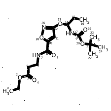 CCOC(=O)CCNC(=O)c1cc(OC(CC)NC(=O)OC(C)(C)C)no1